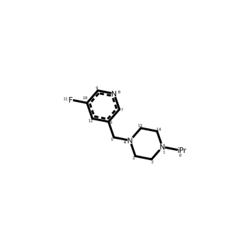 CC(C)N1CCN(Cc2cncc(F)c2)CC1